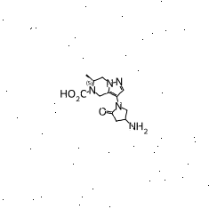 C[C@H]1Cn2ncc(N3CC(N)CC3=O)c2CN1C(=O)O